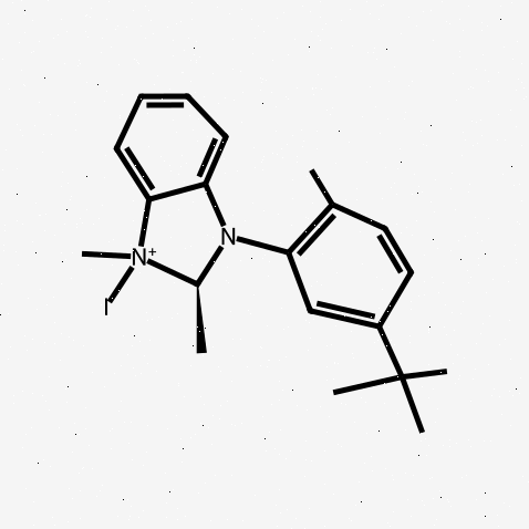 Cc1ccc(C(C)(C)C)cc1N1c2ccccc2[N+](C)(I)[C@@H]1C